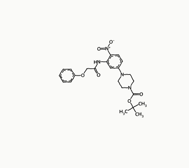 CC(C)(C)OC(=O)N1CCN(c2ccc([N+](=O)[O-])c(NC(=O)COc3ccccc3)c2)CC1